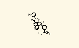 CC(C)c1cc(N2C(=O)Nc3c(C(=O)NC4=CCCNC4)sc4nccc2c34)ccn1